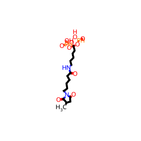 CC1CC(=O)N(CCCCCC(=O)NCCCCCC(O)(O[PH](=O)O)O[PH](=O)O)C1=O